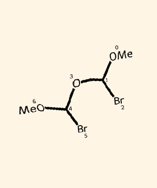 COC(Br)OC(Br)OC